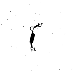 [CH2]CC#COC[CH2]